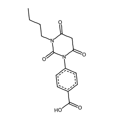 CCCCN1C(=O)CC(=O)N(c2ccc(C(=O)O)cc2)C1=O